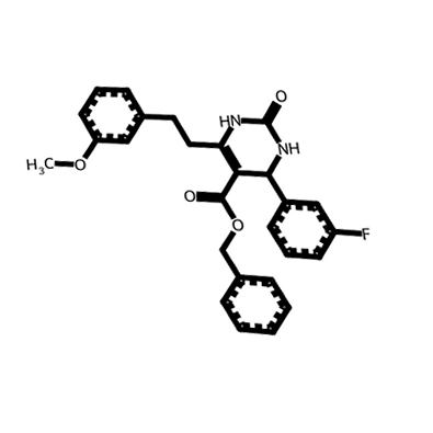 COc1cccc(CCC2=C(C(=O)OCc3ccccc3)C(c3cccc(F)c3)NC(=O)N2)c1